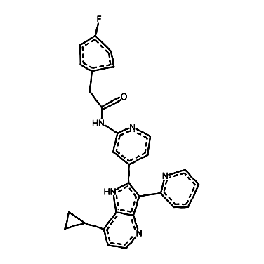 O=C(Cc1ccc(F)cc1)Nc1cc(-c2[nH]c3c(C4CC4)ccnc3c2-c2ccccn2)ccn1